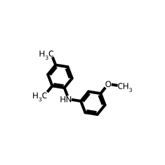 COc1cccc(Nc2ccc(C)cc2C)c1